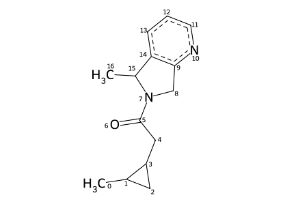 CC1CC1CC(=O)N1Cc2ncccc2C1C